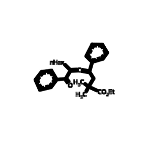 CCCCCCC(=C=C(CC(C)(C)C(=O)OCC)c1ccccc1)C(=O)c1ccccc1